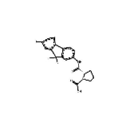 O=C(Nc1ccc2c(c1)C(F)(F)c1cc(I)ccc1-2)[C@@H]1CCCN1C(=O)O